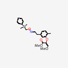 COC=C(Oc1cc(CC=NOC[Si](C)(C)c2ccccc2)ccc1C)C(=O)OC